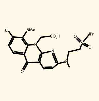 CSc1c(Cl)ccc2c(=O)c3ccc(N(C)CCS(=O)(=O)C(C)C)nc3n(CC(=O)O)c12